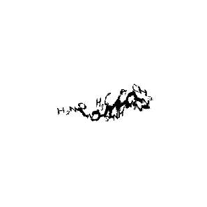 Cc1c(C2CCN(CC(N)=O)CC2)sc2[nH]c(-c3cc(C)c4ncnn4c3)c(C(C)C)c12